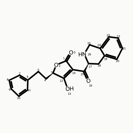 O=C1O[C@H](CCc2ccccc2)C(O)=C1C(=O)[C@@H]1Cc2ccccc2CN1